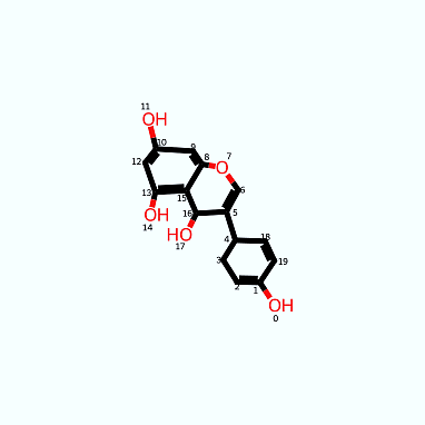 OC1=CCC(C2=COc3cc(O)cc(O)c3C2O)C=C1